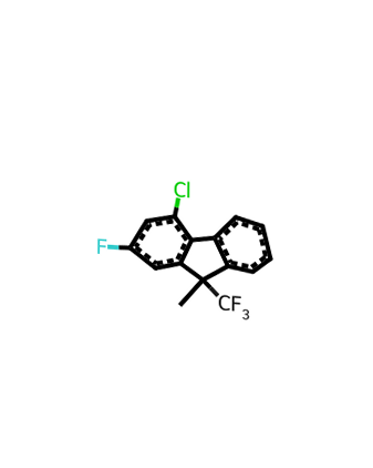 CC1(C(F)(F)F)c2ccccc2-c2c(Cl)cc(F)cc21